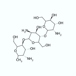 CC1OC(CO)[C@@H](OC2OC(CO)[C@@H](OC3OC(CO)[C@@H](O)[C@H](O)[C@@H]3N)[C@H](O)[C@@H]2N)[C@H](O)[C@@H]1N